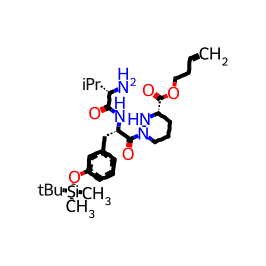 C=CCCOC(=O)[C@@H]1CCCN(C(=O)[C@H](Cc2cccc(O[Si](C)(C)C(C)(C)C)c2)NC(=O)[C@@H](N)C(C)C)N1